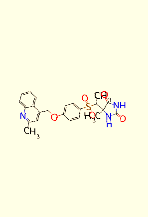 Cc1cc(COc2ccc(S(=O)(=O)C(C)C3(C)NC(=O)NC3=O)cc2)c2ccccc2n1